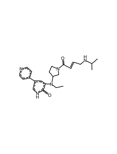 CCN(c1cc(-c2ccncc2)c[nH]c1=O)C1CCN(C(=O)/C=C/CNC(C)C)C1